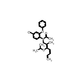 C=C/C=C\C(OC(C)C)=C(/C)CN(C(C)=O)c1ccc(Cl)cc1Oc1ccccc1